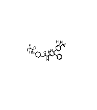 NC1(c2ccc(-c3nnc(NC(=O)CC4CCC(NC(=O)C(F)F)CC4)cc3-c3ccccc3)cc2)CC1